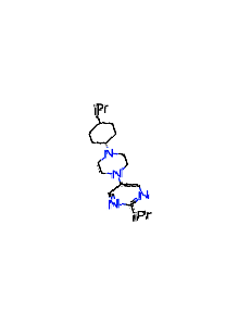 CC(C)c1ncc(N2CCN([C@H]3CC[C@H](C(C)C)CC3)CC2)cn1